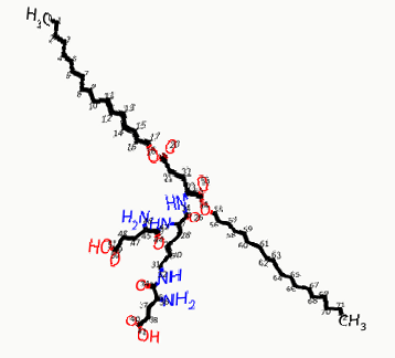 CCCCCCCCCCCCCCCCCCOC(=O)CCC(NC(=O)C(CCCCNC(=O)C(N)CCC(=O)O)NC(=O)C(N)CCC(=O)O)C(=O)OCCCCCCCCCCCCCCCCCC